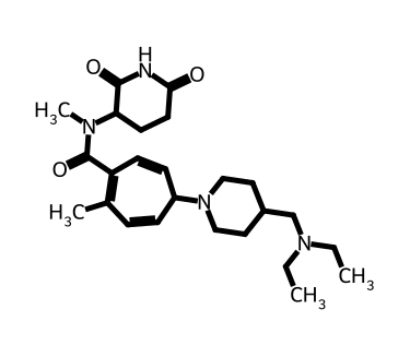 CCN(CC)CC1CCN(C2C=CC(C)=C(C(=O)N(C)C3CCC(=O)NC3=O)C=C2)CC1